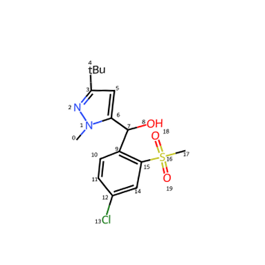 Cn1nc(C(C)(C)C)cc1C(O)c1ccc(Cl)cc1S(C)(=O)=O